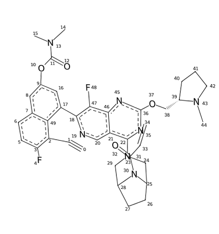 C#Cc1c(F)ccc2cc(OC(=O)N(C)C)cc(-c3ncc4c(N5CC6CCC(C5)N6C(=O)C=C)nc(OC[C@@H]5CCCN5C)nc4c3F)c12